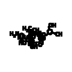 C#CC1=CC(COP(=O)(O)OC2CCO[C@@H]2COP(=O)(O)OC2C(O)[C@H](N3CCC(N)=NC3=O)O[C@@H]2COP(=O)(O)OC(C)C)=CC(CO)C1